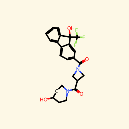 O=C(c1ccc2c(c1)C(O)(C(F)(F)F)c1ccccc1-2)N1CC(C(=O)N2CCC(O)CC2)C1